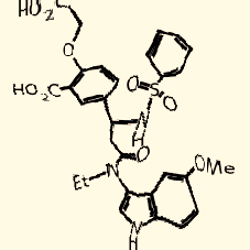 CCN(C(=O)CC(NS(=O)(=O)c1ccccc1)c1ccc(OCC(=O)O)c(C(=O)O)c1)c1c[nH]c2ccc(OC)cc12